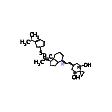 CC(C)c1cccc(SC[C@H](C)C2CCC3/C(=C/C=C4C[C@@H](O)C5(CC5)[C@H](O)C4)CCCC32C)c1